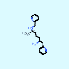 NC(CCC[C@H](NCc1ccccn1)C(=O)O)Cc1ccccn1